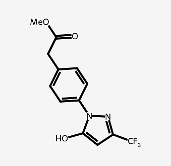 COC(=O)Cc1ccc(-n2nc(C(F)(F)F)cc2O)cc1